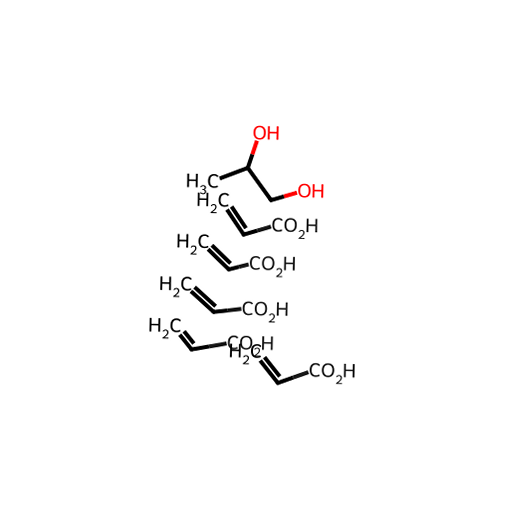 C=CC(=O)O.C=CC(=O)O.C=CC(=O)O.C=CC(=O)O.C=CC(=O)O.CC(O)CO